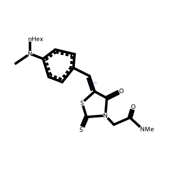 CCCCCCN(C)c1ccc(/C=C2\SC(=S)N(CC(=O)NC)C2=O)cc1